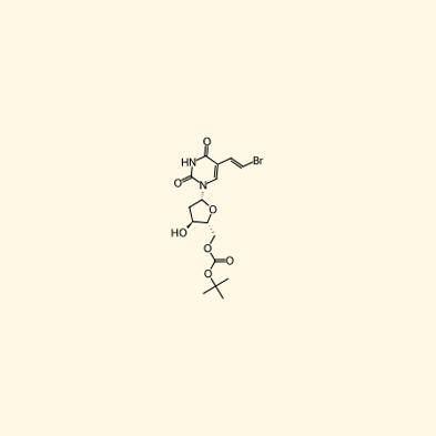 CC(C)(C)OC(=O)OC[C@H]1O[C@@H](n2cc(C=CBr)c(=O)[nH]c2=O)C[C@@H]1O